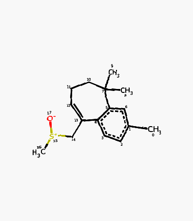 Cc1ccc2c(c1)C(C)(C)CCC=C2C[S+](C)[O-]